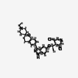 CCN1CCC2(CCc3cc(-c4n[nH]c5ccc(O[C@H](C)c6c(Cl)cncc6Cl)cc45)ccc3O2)CC1